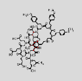 COc1ccc(CCNCC(=O)N(CCc2ccc(OC)cc2)CC(=O)N(CCc2ccc(OC)cc2)CC(=O)N(CCc2ccc(OC)cc2)CC(=O)N(CCC(=O)O)CC(=O)N(CCC(=O)O)CC(=O)N(CCC(=O)O)CC(=O)N(CCC(=O)O)CC(=O)N(CCC(=O)O)CC(=O)N(CCC(=O)O)CC(=O)N(CCC(=O)O)CC(=O)N(CCC(=O)O)CC(C)=O)cc1